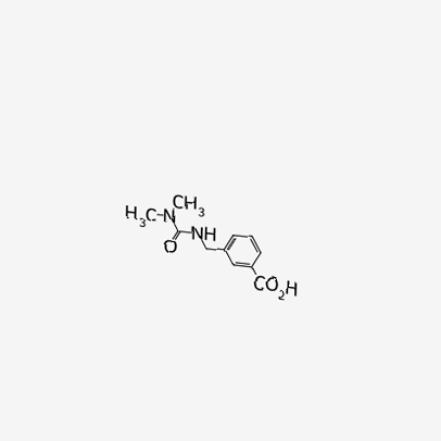 CN(C)C(=O)NCc1cccc(C(=O)O)c1